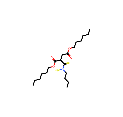 CCCCCCOC(=O)CC(C(=O)OCCCCCC)C(=S)N(S)CCCC